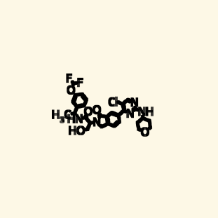 CC(NC(=O)C(CO)N1Cc2ccc(-c3nc(NC4CCOCC4)ncc3Cl)cc2C1=O)c1cccc(OC(F)F)c1